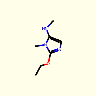 CCOc1ncc(NC)n1C